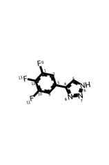 Fc1cc(-c2c[nH]nn2)cc(F)c1F